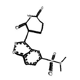 CN(C)S(=O)(=O)c1ccc2onc(C3CCC(=O)NC3=O)c2c1